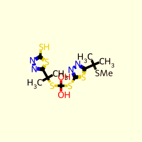 CSC(C)(C)c1nnc(SC(O)(O)SC(C)(C)c2nnc(S)s2)s1